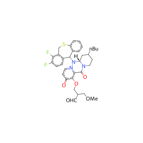 CCCCC1CCN2C(=O)c3c(OCC(C=O)COC)c(=O)ccn3N(C3c4ccccc4SCc4c3ccc(F)c4F)[C@@H]2C1